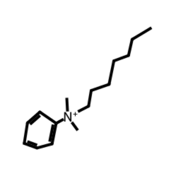 CCCCCCC[N+](C)(C)c1ccccc1